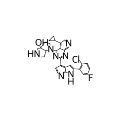 OC12CCN(c3nc(-c4ccnc5[nH]c(-c6cc(F)ccc6Cl)cc45)nc4cncc(C5CC5)c34)C1CCNC2